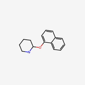 c1ccc2c(OC3CCCC[N]3)cccc2c1